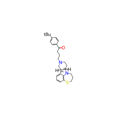 CC(C)(C)c1ccc(C(=O)CCCN2CC[C@H]3[C@@H](C2)c2cccc4c2N3CCCS4)cc1